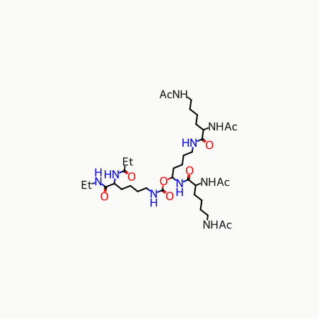 CCNC(=O)C(CCCCNC(=O)OC(CCCCNC(=O)C(CCCCNC(C)=O)NC(C)=O)NC(=O)C(CCCCNC(C)=O)NC(C)=O)NC(=O)CC